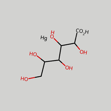 O=C(O)C(O)C(O)C(O)C(O)CO.[Hg]